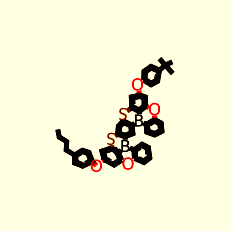 CCCCc1ccc(Oc2cc3c4c(c2)Sc2cc5c(cc2B4c2ccccc2O3)B2c3ccccc3Oc3cc(Oc4ccc(C(C)(C)C)cc4)cc(c32)S5)cc1